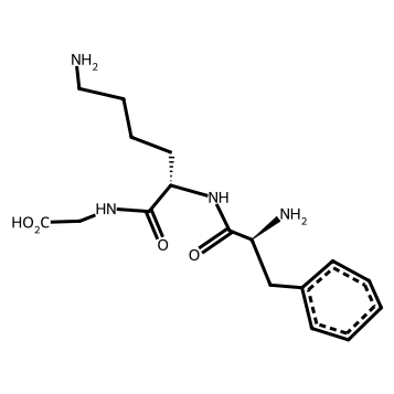 NCCCC[C@H](NC(=O)[C@@H](N)Cc1ccccc1)C(=O)NCC(=O)O